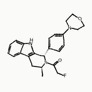 C[C@H]1Cc2c([nH]c3ccccc23)[C@H](c2ccc(N3CCOCC3)cc2)N1C(=O)CF